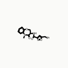 CC(C)Cc1cc(C(=O)NC2COc3ccccc3N(C)C2=O)no1